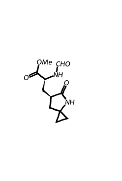 COC(=O)[C@H](C[C@@H]1CC2(CC2)NC1=O)NC=O